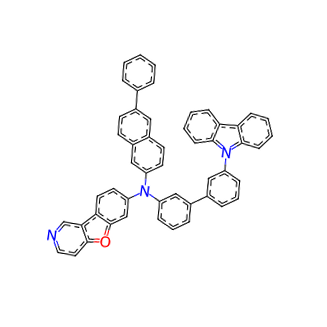 c1ccc(-c2ccc3cc(N(c4cccc(-c5cccc(-n6c7ccccc7c7ccccc76)c5)c4)c4ccc5c(c4)oc4ccncc45)ccc3c2)cc1